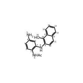 CC(=O)Nc1ccc(N)cc1Nc1ccc2ccccc2c1O